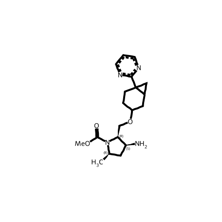 COC(=O)N1[C@H](C)C[C@H](N)[C@@H]1COC1CCC2(c3ncccn3)CC2C1